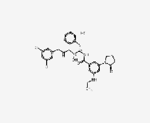 CCNc1cc(C(=O)N[C@@H](Cc2ccccc2)[C@H](O)CNCc2cc(Cl)cc(Cl)c2)cc(N2CCCC2=O)c1.Cl